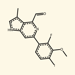 COc1c(I)ccc(-c2cc3[nH]cc(C)c3c(C=O)n2)c1F